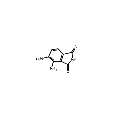 Nc1ccc2c(c1N)C(=O)NC2=O